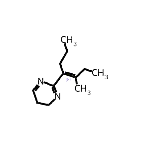 CCC/C(C1=NCCC=N1)=C(/C)CC